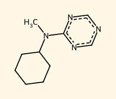 CN(c1ncncn1)C1CCCCC1